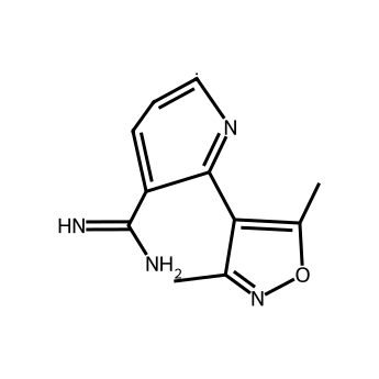 Cc1noc(C)c1-c1n[c]ccc1C(=N)N